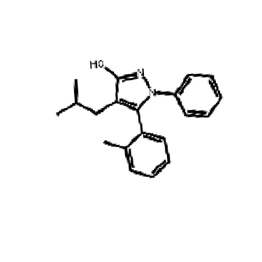 Cc1ccccc1-c1c(CC(C)C)c(O)nn1-c1ccccc1